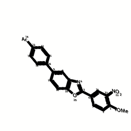 COc1ccc(-c2nc3cc(-c4ccc(C(C)=O)cc4)ccc3o2)cc1[N+](=O)[O-]